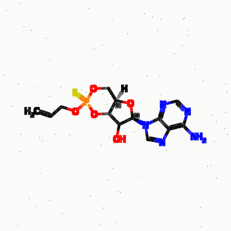 C=CCOP1(=S)OC[C@H]2O[C@@H](n3cnc4c(N)ncnc43)C(O)C2O1